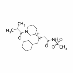 CC(C)C(=O)N1CCC[C@@H](N(CC(=O)NS(C)(=O)=O)CC2CCCCC2)C1